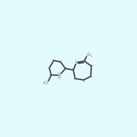 CC1=NC(C2CCCC(C)N2)CCCC1